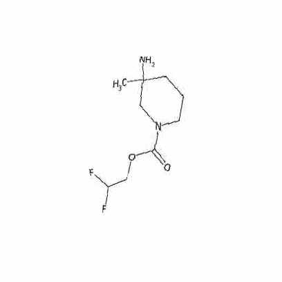 CC1(N)CCCN(C(=O)OCC(F)F)C1